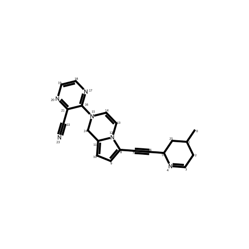 CC1CC=NC(C#Cc2ccc3n2C=CN(c2nccnc2C#N)C3)C1